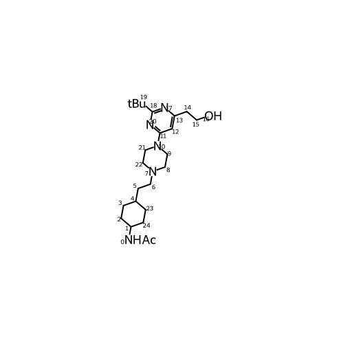 CC(=O)NC1CCC(CCN2CCN(c3cc(CCO)nc(C(C)(C)C)n3)CC2)CC1